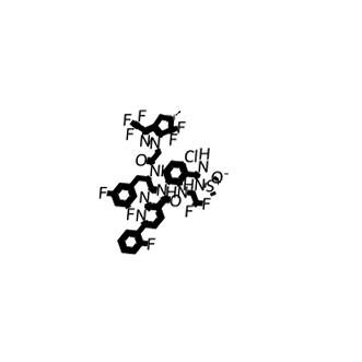 C[C@H]1Cc2c(C(F)(F)F)nn(CC(=O)NC(Cc3cc(F)cc(F)c3)c3nc4nc(-c5ccccc5F)ccc4c(=O)n3-c3ccc(Cl)c(C(=N)N[S+](C)[O-])c3NCC(F)F)c2C1(F)F